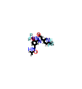 CC(C)C(=O)NCc1ccc(OC(F)F)c(-c2nc(-c3ccc(C(F)(F)F)nc3)cc(=O)[nH]2)c1